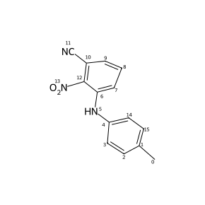 Cc1ccc(Nc2cccc(C#N)c2[N+](=O)[O-])cc1